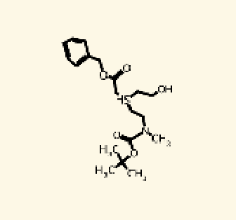 CN(CC[SH](CCO)CC(=O)OCc1ccccc1)C(=O)OC(C)(C)C